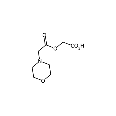 O=C(O)COC(=O)CN1CCOCC1